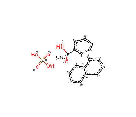 C.O=C(O)c1ccccc1.O=S(=O)(O)O.c1ccc2ccccc2c1